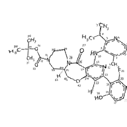 Cc1ccnc(C(C)C)c1Nc1nc(-c2c(O)cccc2F)c(F)c2c1C(=O)N1CCN(C(=O)OC(C)(C)C)C[C@@H]1CO2